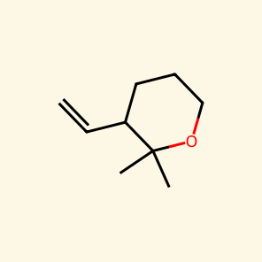 C=CC1CCCOC1(C)C